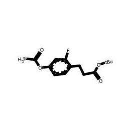 CC(C)(C)OC(=O)CCc1ccc(OC(N)=O)cc1F